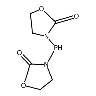 O=C1OCCN1PN1CCOC1=O